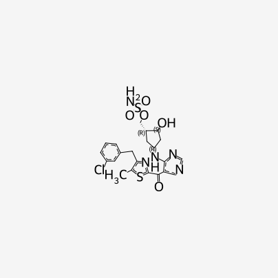 Cc1sc(C(=O)c2cncnc2N[C@@H]2C[C@H](COS(N)(=O)=O)[C@@H](O)C2)nc1Cc1cccc(Cl)c1